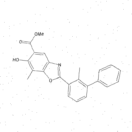 COC(=O)c1cc2nc(-c3cccc(-c4ccccc4)c3C)oc2c(C)c1O